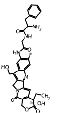 CC[C@@]1(O)C(=O)OCc2c1cc1n(c2=O)Cc2c-1nc1cc(F)c(NC(=O)CNC(=O)C(N)Cc3ccccc3)cc1c2CO